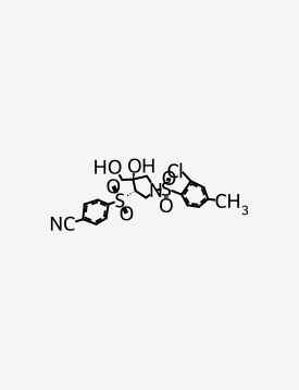 Cc1ccc(S(=O)(=O)N2C[C@H](S(=O)(=O)c3ccc(C#N)cc3)[C@](O)(CO)C2)c(Cl)c1